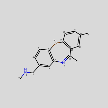 CNCc1ccc2c(c1)N=C(C)c1cc(C)ccc1S2